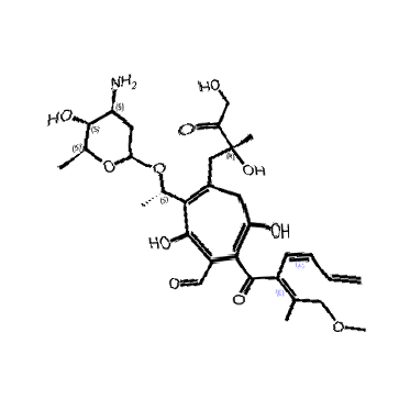 C=C/C=C\C(C(=O)C1=C(O)CC(C[C@@](C)(O)C(=O)CO)=C([C@H](C)OC2C[C@H](N)[C@H](O)[C@H](C)O2)C(O)=C1C=O)=C(\C)COC